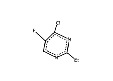 CCc1ncc(F)c(Cl)n1